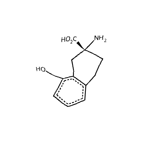 N[C@]1(C(=O)O)CCc2cccc(O)c2C1